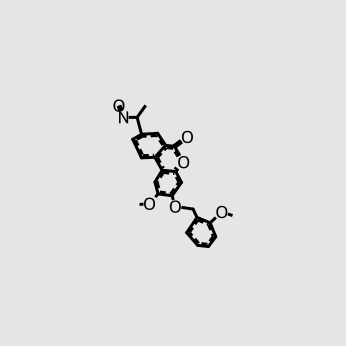 COc1ccccc1COc1cc2oc(=O)c3cc(C(C)N=O)ccc3c2cc1OC